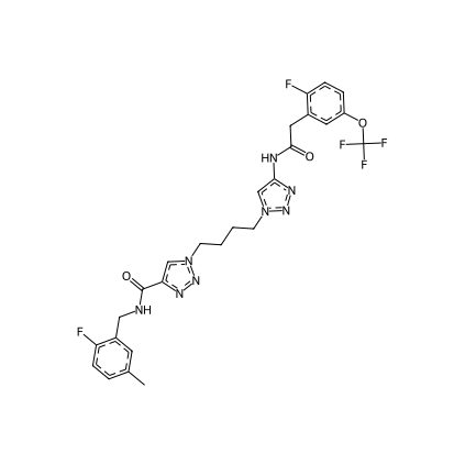 Cc1ccc(F)c(CNC(=O)c2cn(CCCCn3cc(NC(=O)Cc4cc(OC(F)(F)F)ccc4F)nn3)nn2)c1